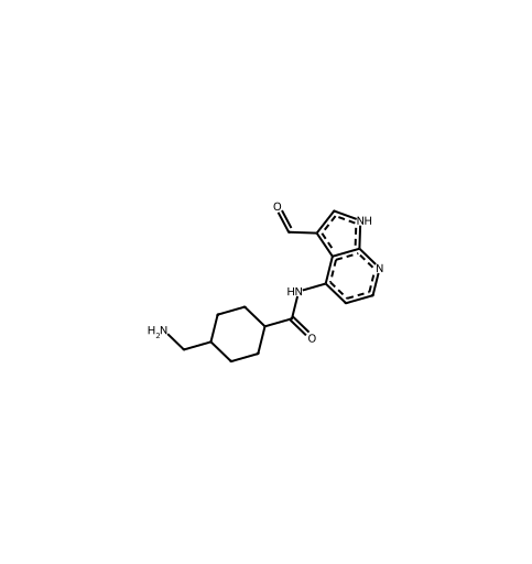 NCC1CCC(C(=O)Nc2ccnc3[nH]cc(C=O)c23)CC1